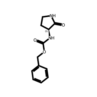 O=C(N[C@H]1CCNC1=O)OCc1ccccc1